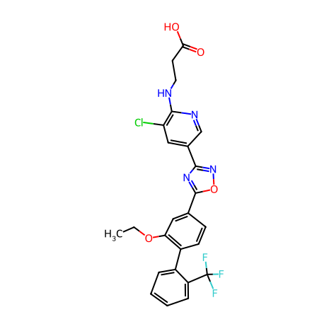 CCOc1cc(-c2nc(-c3cnc(NCCC(=O)O)c(Cl)c3)no2)ccc1-c1ccccc1C(F)(F)F